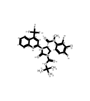 CN(C(=O)[C@@H]1CN(C(=O)OC(C)(C)C)C(=O)N1c1cc(C(F)(F)F)c2ccccc2n1)c1ccc(F)c(Cl)c1F